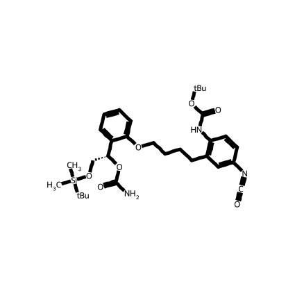 CC(C)(C)OC(=O)Nc1ccc(N=C=O)cc1CCCCOc1ccccc1[C@@H](CO[Si](C)(C)C(C)(C)C)OC(N)=O